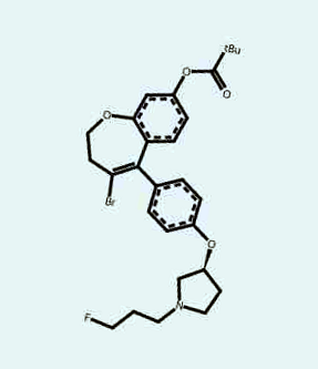 CC(C)(C)C(=O)Oc1ccc2c(c1)OCCC(Br)=C2c1ccc(O[C@H]2CCN(CCCF)C2)cc1